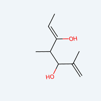 C=C(C)C(O)C(C)C(O)=CC